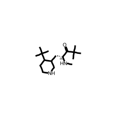 CN[C@H](CC1CNCCC1C(C)(C)C)C(=O)C(C)(C)C